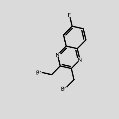 Fc1ccc2nc(CBr)c(CBr)nc2c1